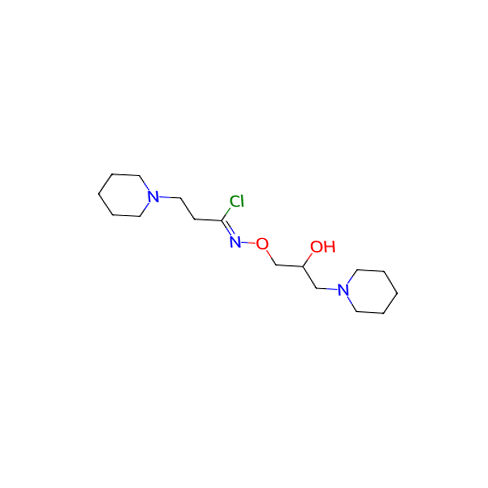 OC(CON=C(Cl)CCN1CCCCC1)CN1CCCCC1